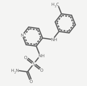 Cc1cccc(Nc2ccncc2NS(=O)(=O)C(N)=O)c1